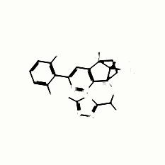 CCC(O[C@@]12CC[C@@H](c3cc(-c4c(F)cccc4F)nnc31)C2(C)C)c1nnc(C)o1